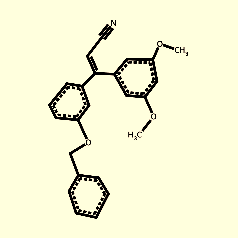 COc1cc(OC)cc(/C(=C\C#N)c2cccc(OCc3ccccc3)c2)c1